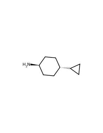 N[C@H]1CC[C@H](C2CC2)CC1